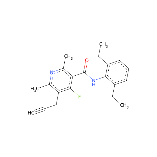 C#CCc1c(C)nc(C)c(C(=O)Nc2c(CC)cccc2CC)c1F